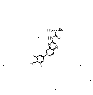 Cc1cc(-c2ccc3ncc(NC(=O)N(S)C(C)(C)C)nc3c2)cc(C)c1O